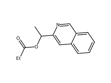 CCC(=O)OC(C)c1cc2ccccc2cn1